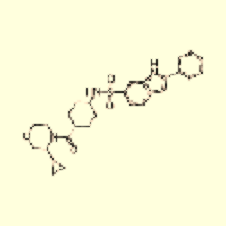 O=C([C@H]1CC[C@H](NS(=O)(=O)c2ccc3cc(-c4ccccc4)[nH]c3c2)CC1)N1CCOCC1C1CC1